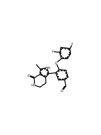 Cc1[nH]c(-c2cc(C=O)ccc2Oc2ccc(F)cc2F)c2c1C(=O)NCC2